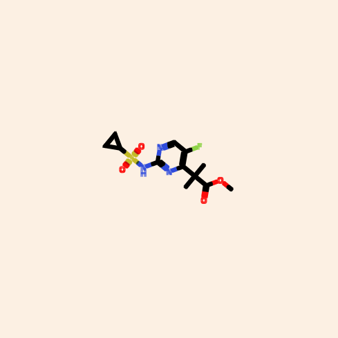 COC(=O)C(C)(C)c1nc(NS(=O)(=O)C2CC2)ncc1F